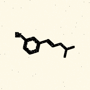 CC(C)C/C=C/c1cccc(Br)c1